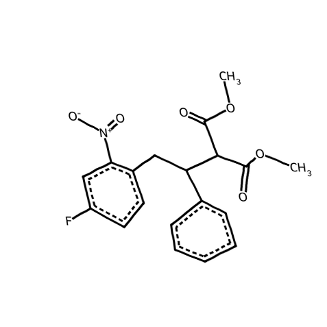 COC(=O)C(C(=O)OC)C(Cc1ccc(F)cc1[N+](=O)[O-])c1ccccc1